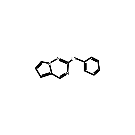 c1ccc(Nc2ncc3cccn3n2)cc1